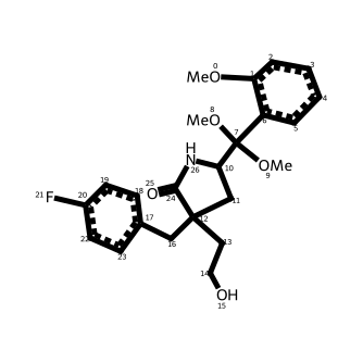 COc1ccccc1C(OC)(OC)C1CC(CCO)(Cc2ccc(F)cc2)C(=O)N1